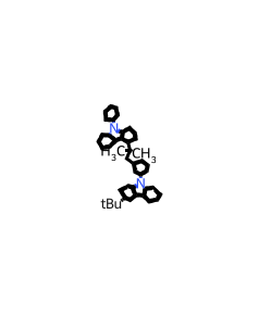 CC(C)(C)c1ccc2c(c1)c1ccccc1n2-c1cccc(CC(C)(C)c2cccc3c2c2ccccc2n3-c2ccccc2)c1